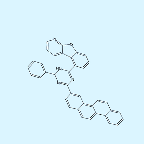 c1ccc(C2N=C(c3ccc4ccc5c6ccccc6ccc5c4c3)N=C(c3cccc4oc5ncccc5c34)N2)cc1